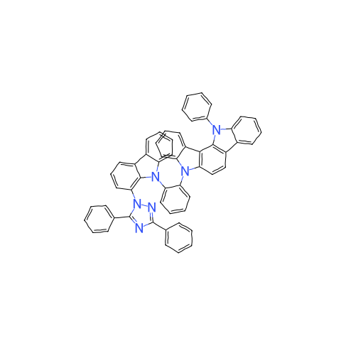 c1ccc(-c2nc(-c3ccccc3)n(-c3cccc4c5ccccc5n(-c5ccccc5-n5c6ccccc6c6c5ccc5c7ccccc7n(-c7ccccc7)c56)c34)n2)cc1